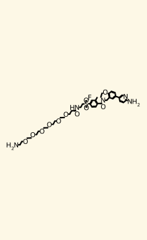 Cc1c(C(=O)N2CCOc3ccc(-c4ccc(N)nc4)cc3C2)ccc(S(=O)(=O)CCNC(=O)CCOCCOCCOCCOCCOCCOCCN)c1F